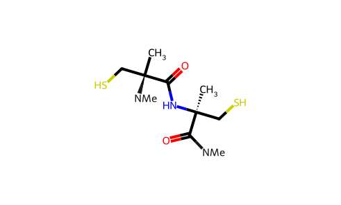 CNC(=O)[C@](C)(CS)NC(=O)[C@@](C)(CS)NC